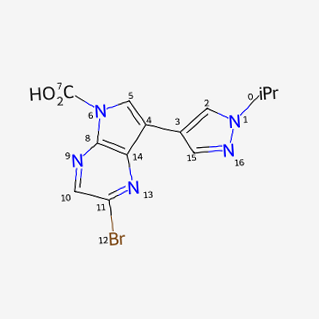 CC(C)n1cc(-c2cn(C(=O)O)c3ncc(Br)nc23)cn1